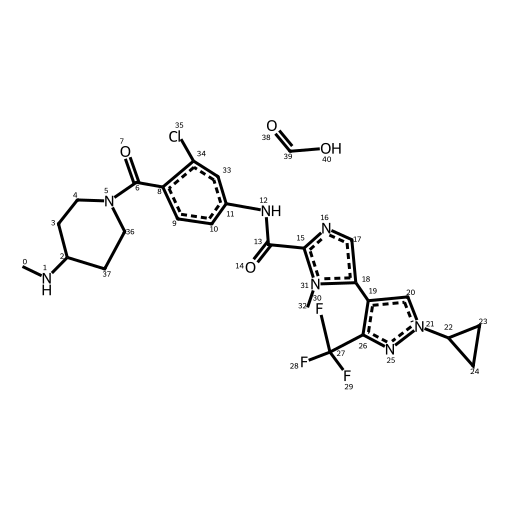 CNC1CCN(C(=O)c2ccc(NC(=O)c3ncc(-c4cn(C5CC5)nc4C(F)(F)F)n3C)cc2Cl)CC1.O=CO